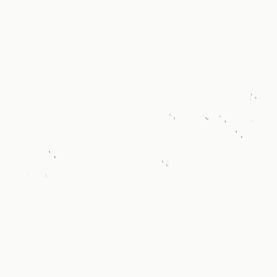 CN1C(=O)CCc2cc(-c3cncc(N4CCC[C@H]4Cn4cncn4)c3)ccc21